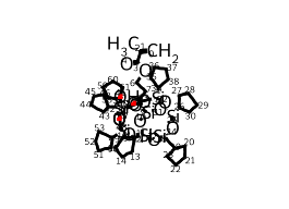 C=C(C)C(=O)OCCC[Si]12O[Si]3(C4CCCC4)O[SiH](C4CCCC4)O[Si](C4CCCC4)(O1)O[Si]1(C4CCCC4)O[Si](O)(C4CCCC4)O[Si](C4CCCC4)(O3)O[Si](C3CCCC3)(O2)O1